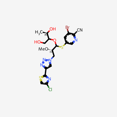 CO[C@@H](Cn1cc(-c2nc(Cl)cs2)nn1)C(OC(CO)[C@@H](C)O)Sc1cnc(C#N)c(Br)c1